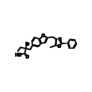 CCC(Br)(Cc1ccc2oc(Cc3nc(-c4ccccc4)oc3C)cc2c1)C(=O)O